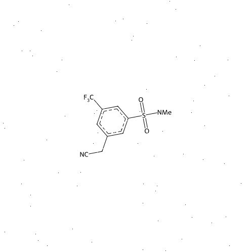 CNS(=O)(=O)c1cc(CC#N)cc(C(F)(F)F)c1